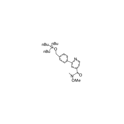 CCCC[Si](CCCC)(CCCC)OCc1ccc(-c2cc(C(=O)N(C)OC)ccn2)cc1